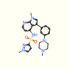 CN1CCN(c2cccc(-c3cn(C)c4nccc(NS(=O)(=O)c5ccn(C)n5)c34)c2)CC1